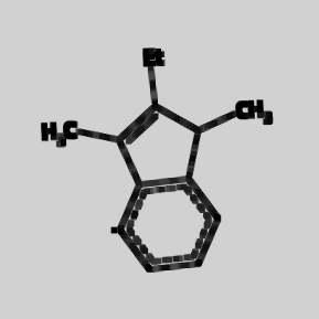 CCC1=C(C)c2[c]cccc2C1C